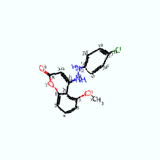 COc1cccc2oc(=O)cc(NNc3ccc(Cl)cc3)c12